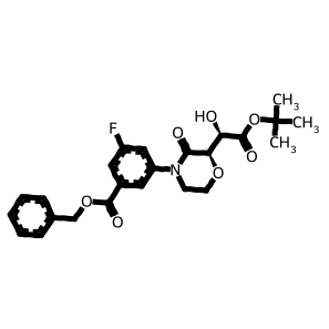 CC(C)(C)OC(=O)[C@H](O)[C@H]1OCCN(c2cc(F)cc(C(=O)OCc3ccccc3)c2)C1=O